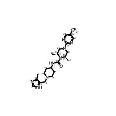 Cc1nc[nH]c1CN1CCC(NC(=O)N2[C@H](C)CN(c3ncc(C(F)(F)F)cn3)C[C@@H]2C)CC1